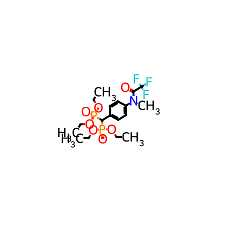 CCOP(=O)(OCC)C(c1ccc(N(C)C(=O)C(F)(F)F)cc1)P(=O)(OCC)OCC